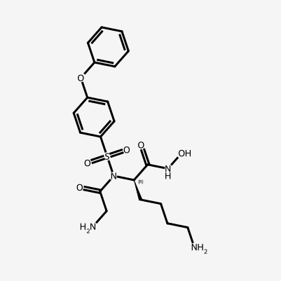 NCCCC[C@H](C(=O)NO)N(C(=O)CN)S(=O)(=O)c1ccc(Oc2ccccc2)cc1